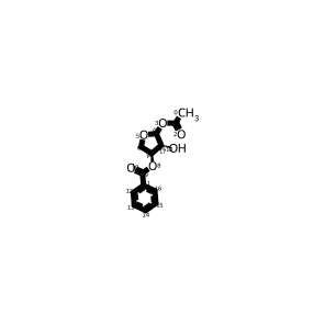 CC(=O)OC1OC[C@H](OC(=O)c2ccccc2)[C@H]1O